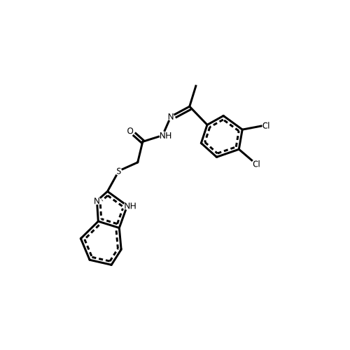 C/C(=N/NC(=O)CSc1nc2ccccc2[nH]1)c1ccc(Cl)c(Cl)c1